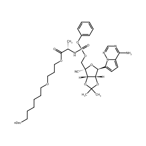 CCCCCCCCCCCCCCCCOCCCOC(=O)[C@H](C)NP(=O)(OC[C@@]1(C#N)O[C@@H](c2ccc3c(N)ncnn23)[C@@H]2OC(C)(C)O[C@@H]21)Oc1ccccc1